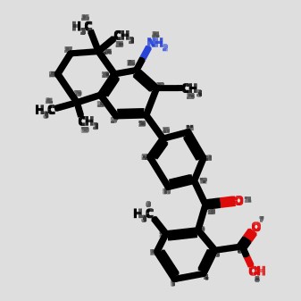 Cc1cccc(C(=O)O)c1C(=O)c1ccc(-c2cc3c(c(N)c2C)C(C)(C)CCC3(C)C)cc1